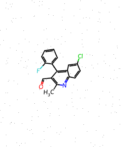 Cc1nc2ccc(Cl)cc2c(-c2ccccc2F)c1C=O